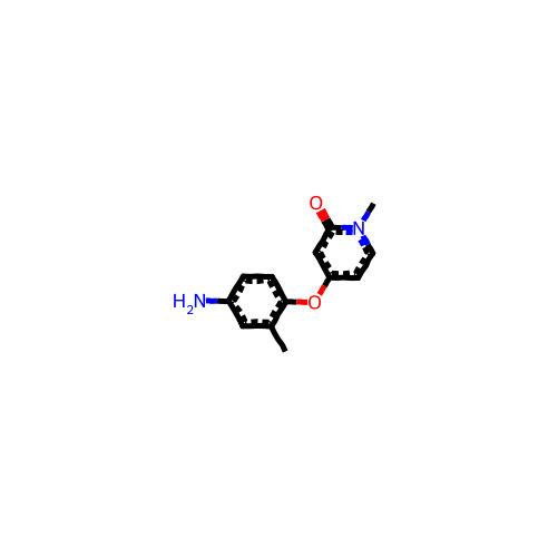 Cc1cc(N)ccc1Oc1ccn(C)c(=O)c1